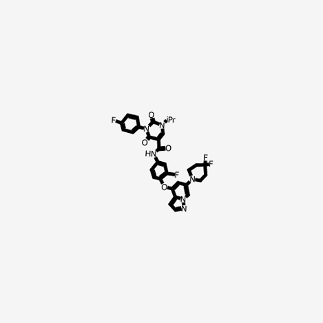 CC(C)n1cc(C(=O)Nc2ccc(Oc3cc(N4CCC(F)(F)CC4)cn4nccc34)c(F)c2)c(=O)n(-c2ccc(F)cc2)c1=O